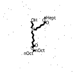 CCCCCCCCC(CCCCCCCC)OC(=O)CCCCCN(CCCO)CCCCCC(=O)OCCCCCCC